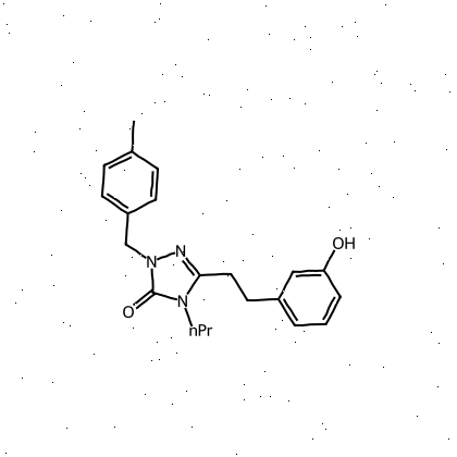 CCCn1c(CCc2cccc(O)c2)nn(Cc2ccc(C)cc2)c1=O